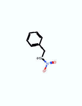 O=[N+]([O-])[SiH]Cc1ccccc1